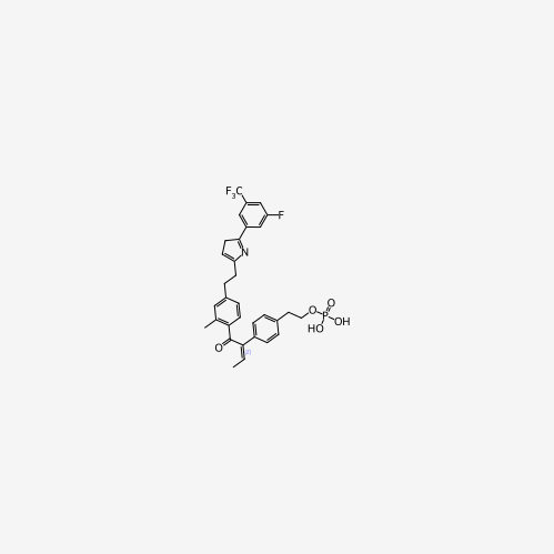 C/C=C(\C(=O)c1ccc(CCC2=CCC(c3cc(F)cc(C(F)(F)F)c3)=N2)cc1C)c1ccc(CCOP(=O)(O)O)cc1